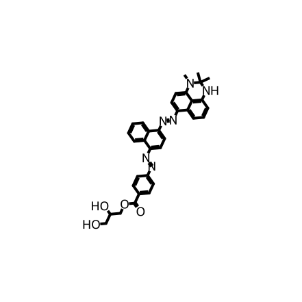 CN1c2ccc(N=Nc3ccc(N=Nc4ccc(C(=O)OCC(O)CO)cc4)c4ccccc34)c3cccc(c23)NC1(C)C